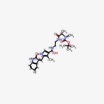 Cc1c(C(O)NCCNC(=O)[C@H](C)N(C)C(=O)OC(C)(C)C)c[nH]c1/C=C1\C(=O)Nc2ccc(F)cc21